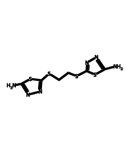 Nc1nnc(SCCSc2nnc(N)s2)s1